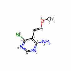 COC=Cc1c(N)ncnc1Br